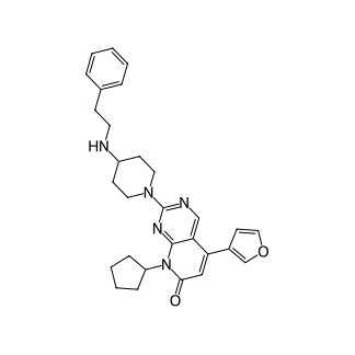 O=c1cc(-c2ccoc2)c2cnc(N3CCC(NCCc4ccccc4)CC3)nc2n1C1CCCC1